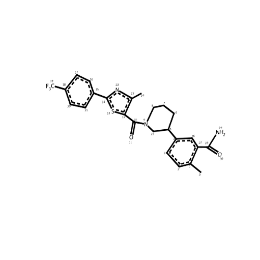 Cc1ccc(C2CCCN(C(=O)c3sc(-c4ccc(C(F)(F)F)cc4)nc3C)C2)cc1C(N)=O